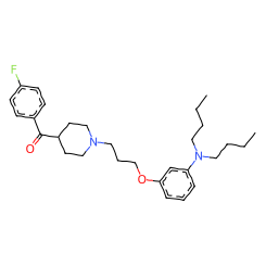 CCCCN(CCCC)c1cccc(OCCCN2CCC(C(=O)c3ccc(F)cc3)CC2)c1